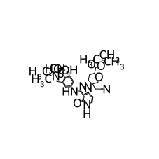 CC(C)(C)OC(=O)C1CCC(CC#N)(n2nc(Nc3ccc4c(c3)CN(C(C)(C)C)S4(O)O)c3c(=O)[nH]ccc32)CO1